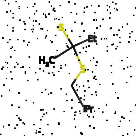 CCC(C)([S])SCC(C)C